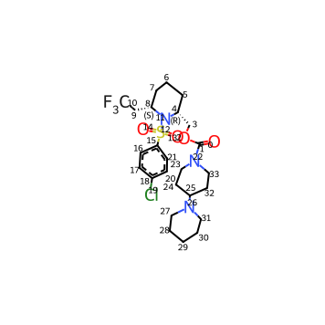 O=C(OC[C@H]1CCC[C@@H](CC(F)(F)F)N1S(=O)(=O)c1ccc(Cl)cc1)N1CCC(N2CCCCC2)CC1